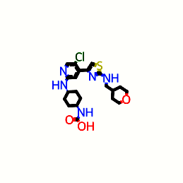 O=C(O)N[C@H]1CC[C@H](Nc2cc(-c3csc(NCC4CCOCC4)n3)c(Cl)cn2)CC1